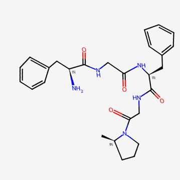 C[C@@H]1CCCN1C(=O)CNC(=O)[C@H](Cc1ccccc1)NC(=O)CNC(=O)[C@@H](N)Cc1ccccc1